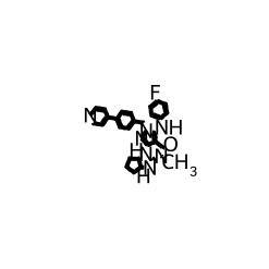 CN1C(=O)c2c(nn(Cc3ccc(-c4ccncc4)cc3)c2Nc2ccc(F)cc2)N2C1=N[C@@H]1CCC[C@@H]12